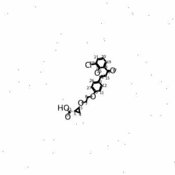 O=C(O)[C@H]1C[C@H]1OCCOc1ccc(-c2cc(=O)c3cccc(Cl)c3o2)cc1